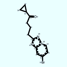 O=C(CCCc1nc2cc(Br)ccn2n1)C1CC1